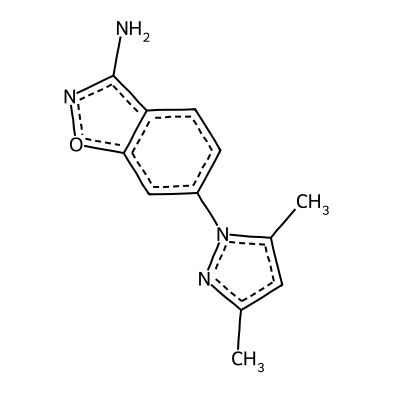 Cc1cc(C)n(-c2ccc3c(N)noc3c2)n1